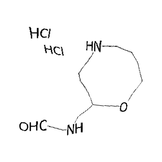 Cl.Cl.O=CNC1CNCCO1